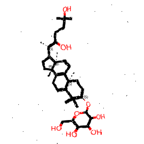 C[C@H](C(O)CCC(C)(C)O)C1CC[C@@]2(C)C3=C(CC[C@]12C)[C@@]1(C)CC[C@H](OC2OC(CO)C(O)C(O)C2O)C(C)(C)C1CC3